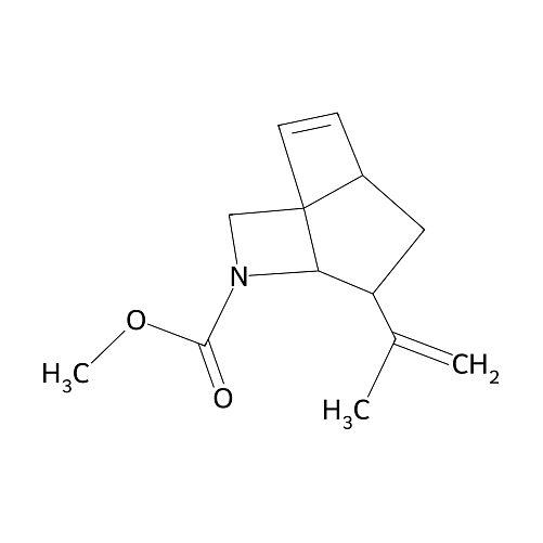 C=C(C)C1CC2C=CC23CN(C(=O)OC)C13